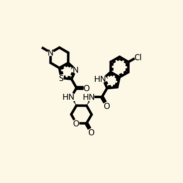 CN1CCc2nc(C(=O)N[C@H]3COC(=O)C[C@H]3NC(=O)c3cc4cc(Cl)ccc4[nH]3)sc2C1